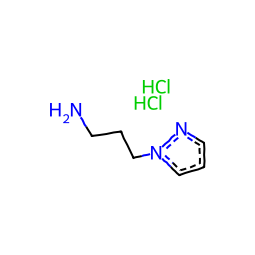 Cl.Cl.NCCCn1cccn1